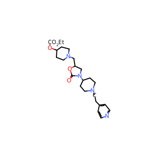 CCOC(=O)OC1CCN(CC2CN(C3CCN(CCc4ccncc4)CC3)C(=O)O2)CC1